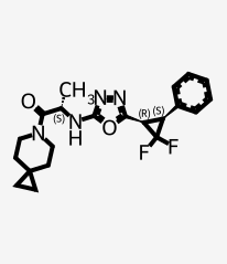 C[C@H](Nc1nnc([C@H]2[C@@H](c3ccccc3)C2(F)F)o1)C(=O)N1CCC2(CC1)CC2